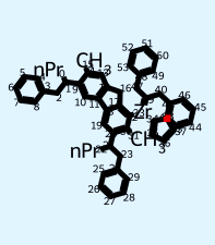 CCCC(Cc1ccccc1)c1cc2c(cc1C)Cc1c-2cc(C(CCC)Cc2ccccc2)c(C)[c]1[Zr]([C]1=CC=CC1)=[C](Cc1ccccc1)Cc1ccccc1